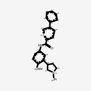 COc1ccc(NC(=O)c2ccc(-c3ccccc3)cc2)cc1C1CCN(C(C)C)C1